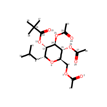 CC(=O)OC[C@H]1O[C@H](CC(C)C)[C@H](OC(=O)C(C)(C)C)[C@@H](OC(C)=O)[C@@H]1OC(C)=O